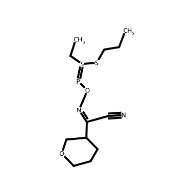 CCCSS(CC)=PON=C(C#N)C1CCCOC1